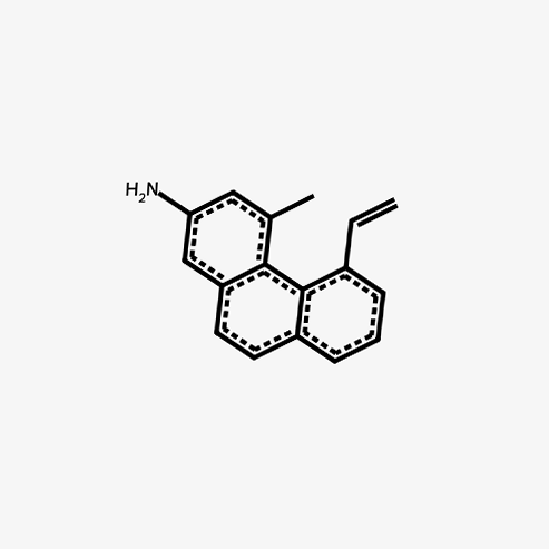 C=Cc1cccc2ccc3cc(N)cc(C)c3c12